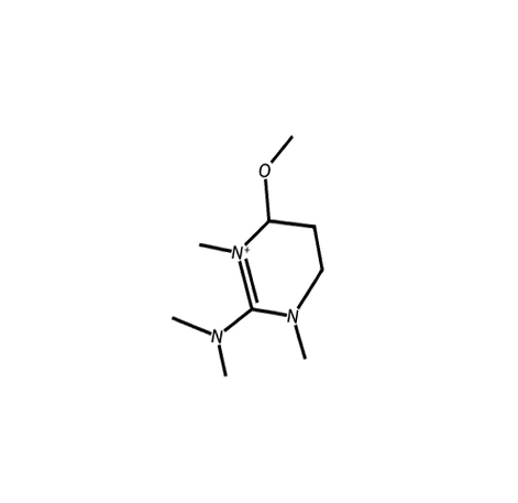 COC1CCN(C)C(N(C)C)=[N+]1C